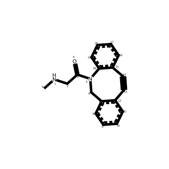 CNCC(=O)N1Cc2ccccc2C#Cc2ccccc21